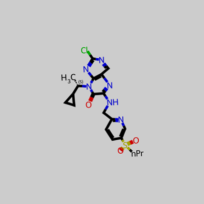 CCCS(=O)(=O)c1ccc(CNc2nc3cnc(Cl)nc3n([C@@H](C)C3CC3)c2=O)nc1